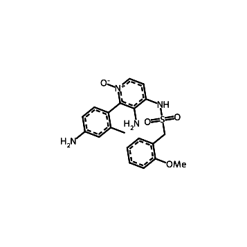 COc1ccccc1CS(=O)(=O)Nc1cc[n+]([O-])c(-c2ccc(N)cc2C)c1N